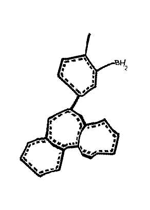 Bc1cc(-c2cc3ccccc3c3ccccc23)ccc1C